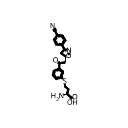 N#Cc1ccc(C2=NO[C@@H](CC(=O)c3cccc(SCC[C@H](N)C(=O)O)c3)C2)cc1